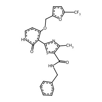 Cc1nc(-c2c(OCc3ccc(C(F)(F)F)o3)cc[nH]c2=O)sc1C(=O)NCc1ccccc1